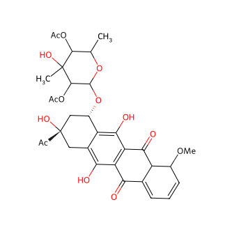 COC1C=CC=C2C(=O)c3c(O)c4c(c(O)c3C(=O)C21)[C@@H](OC1OC(C)C(OC(C)=O)C(C)(O)C1OC(C)=O)C[C@](O)(C(C)=O)C4